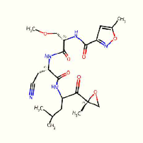 COC[C@H](NC(=O)c1cc(C)on1)C(=O)N[C@@H](CC#N)C(=O)NC(CC(C)C)C(=O)[C@@]1(C)CO1